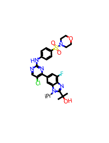 CC(C)n1c(C(C)(C)O)nc2c(F)cc(-c3nc(Nc4ccc(S(=O)(=O)N5CCOCC5)cc4)ncc3Cl)cc21